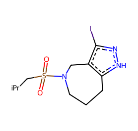 CC(C)CS(=O)(=O)N1CCCc2[nH]nc(I)c2C1